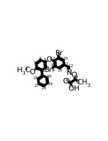 COc1ccc(Oc2c(Br)cc(C=NOC(C)C(=O)O)cc2Br)cc1-c1ccccc1